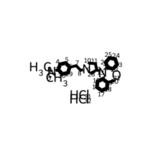 CN(C)c1ccc(CCN2CCC(N3c4ccccc4COc4ccccc43)C2)cc1.Cl.Cl